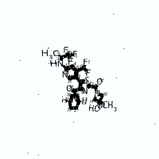 C[C@H](Nc1cc(C(F)F)c(-c2sc(C(=O)N3CC(C)(O)C3)nc2C(=O)N2[C@H]3CC[C@@H]2CC3)cn1)C(F)(F)F